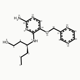 CCC[C@@H](CCO)Nc1nc(N)ncc1OCc1cnccn1